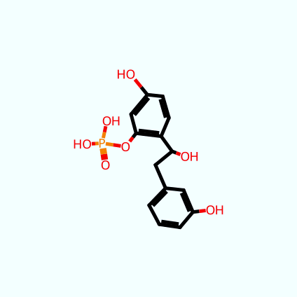 O=P(O)(O)Oc1cc(O)ccc1C(O)Cc1cccc(O)c1